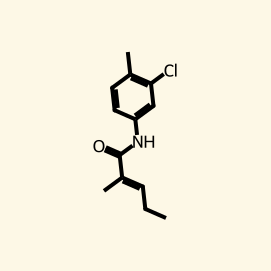 CCC=C(C)C(=O)Nc1ccc(C)c(Cl)c1